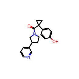 O=C(N1CCC(c2cccnc2)C1)C1(c2ccc(O)cc2)CC1